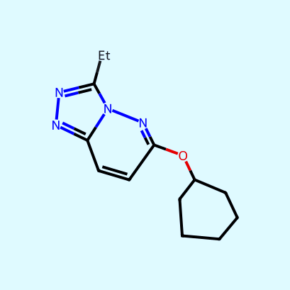 CCc1nnc2ccc(OC3CCCCC3)nn12